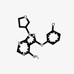 Nc1ncnc2c1c(Oc1cccc(Cl)c1)nn2C1CCOC1